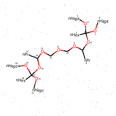 CCCCCCCOC(CCCCCC)(OCCCCCCC)OC(CCC)OCOCOC(CCC)OC(CCCCCC)(OCCCCCCC)OCCCCCCC